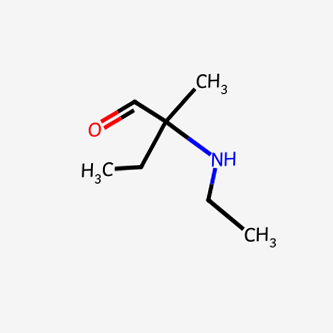 CCNC(C)(C=O)CC